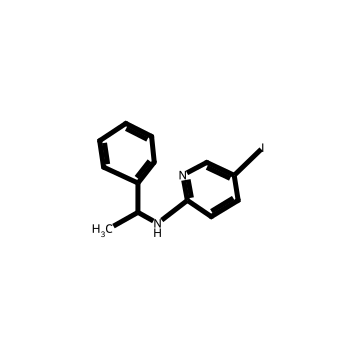 CC(Nc1ccc(I)cn1)c1ccccc1